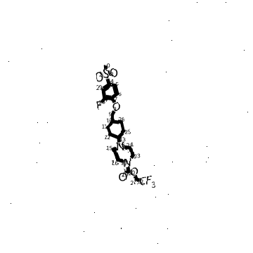 CS(=O)(=O)c1ccc(OCC2CCC(N3CCN(C(=O)OCC(F)(F)F)CC3)CC2)c(F)c1